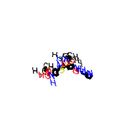 CC(C)OC(O)NC1CCC(c2ncc(-c3ccc(NC(=O)NCc4cccnc4)cc3S(=O)(=O)NC(C)(C)C)s2)CC1